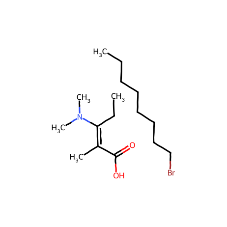 CC/C(=C(/C)C(=O)O)N(C)C.CCCCCCCCBr